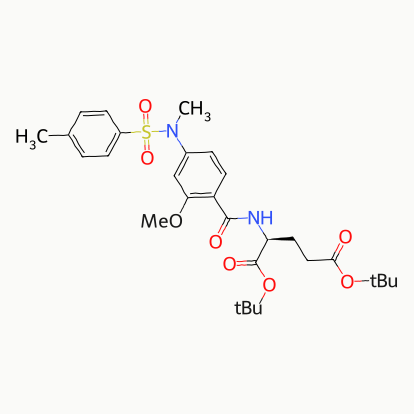 COc1cc(N(C)S(=O)(=O)c2ccc(C)cc2)ccc1C(=O)N[C@@H](CCC(=O)OC(C)(C)C)C(=O)OC(C)(C)C